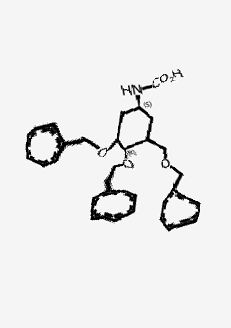 O=C(O)N[C@H]1CC(COCc2ccccc2)[C@@H](OCc2ccccc2)C(OCc2ccccc2)C1